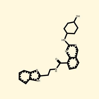 O=C(NCCc1nc2ccccc2[nH]1)c1cccc2cnc(NC3CCC(O)CC3)nc12